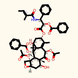 C/C=C(\C)C(=O)N[C@@H](c1ccccc1)[C@@H](OC(=O)c1ccccc1)C(=O)O[C@H]1C[C@]2(O)[C@]3(C)C(=C1C)[C@@H](OC(C)=O)C(=O)[C@@]1(C)[C@@H]([C@]4(OC(C)=O)CO[C@@H]4C[C@@H]1O)[C@@]23OC(=O)c1ccccc1